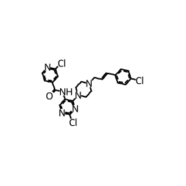 O=C(Nc1cnc(Cl)nc1N1CCN(C/C=C/c2ccc(Cl)cc2)CC1)c1ccnc(Cl)c1